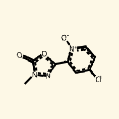 Cn1nc(-c2cc(Cl)cc[n+]2[O-])oc1=O